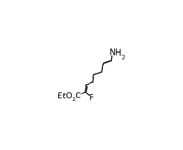 CCOC(=O)/C(F)=C/CCCCCN